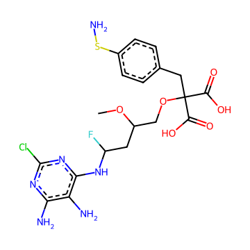 COC(COC(Cc1ccc(SN)cc1)(C(=O)O)C(=O)O)CC(F)Nc1nc(Cl)nc(N)c1N